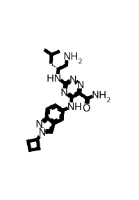 CC(C)C[C@H](CN)Nc1nnc(C(N)=O)c(Nc2ccc3nn(C4CCC4)cc3c2)n1